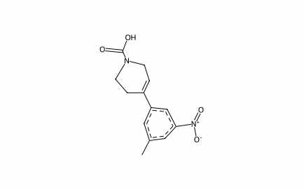 Cc1cc(C2=CCN(C(=O)O)CC2)cc([N+](=O)[O-])c1